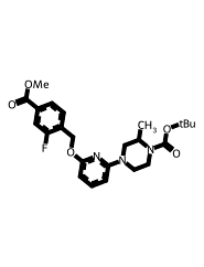 COC(=O)c1ccc(COc2cccc(N3CCN(C(=O)OC(C)(C)C)C(C)C3)n2)c(F)c1